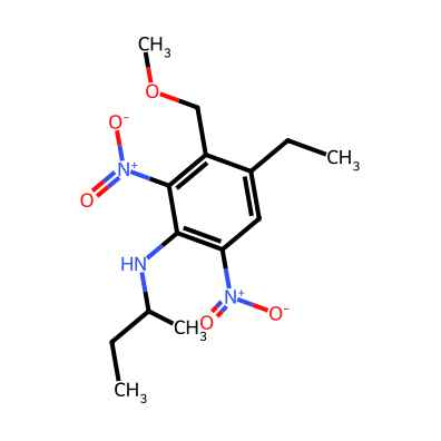 CCc1cc([N+](=O)[O-])c(NC(C)CC)c([N+](=O)[O-])c1COC